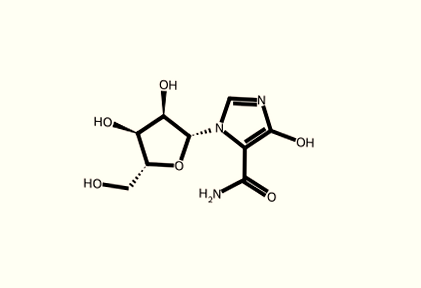 NC(=O)c1c(O)ncn1[C@@H]1O[C@H](CO)[C@@H](O)[C@H]1O